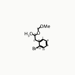 COCOC(C)Cc1ccccc1Br